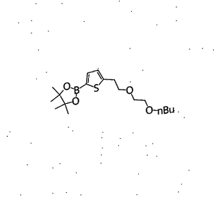 CCCCOCCOCCc1ccc(B2OC(C)(C)C(C)(C)O2)s1